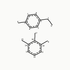 CCc1ccc(C)cc1.Cc1cccc(C)c1C